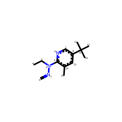 C=NN(CC)c1ncc(C(C)(C)C)cc1C